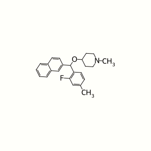 Cc1ccc(C(OC2CCN(C)CC2)c2ccc3ccccc3c2)c(F)c1